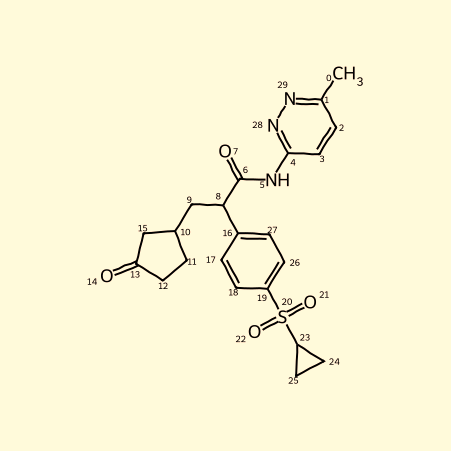 Cc1ccc(NC(=O)C(CC2CCC(=O)C2)c2ccc(S(=O)(=O)C3CC3)cc2)nn1